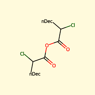 CCCCCCCCCCC(Cl)C(=O)OC(=O)C(Cl)CCCCCCCCCC